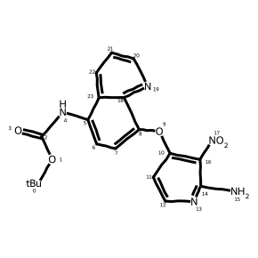 CC(C)(C)OC(=O)Nc1ccc(Oc2ccnc(N)c2[N+](=O)[O-])c2ncccc12